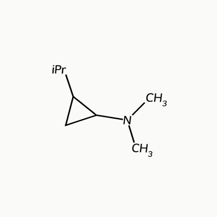 CC(C)C1CC1N(C)C